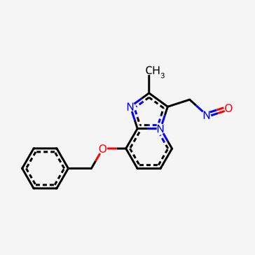 Cc1nc2c(OCc3ccccc3)cccn2c1CN=O